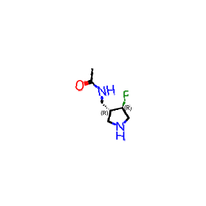 CC(=O)NC[C@H]1CNC[C@@H]1F